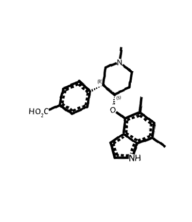 Cc1cc(C)c2[nH]ccc2c1O[C@H]1CCN(C)C[C@H]1c1ccc(C(=O)O)cc1